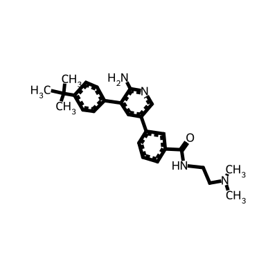 CN(C)CCNC(=O)c1cccc(-c2cnc(N)c(-c3ccc(C(C)(C)C)cc3)c2)c1